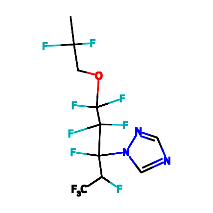 CC(F)(F)COC(F)(F)C(F)(F)C(F)(C(F)C(F)(F)F)n1cncn1